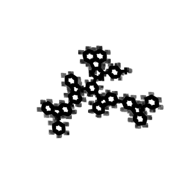 Fc1ccc(-c2nc(-c3cc(-n4c5ccccc5c5cc(-c6ccc7c(c6)c6ccccc6n7-c6ccccc6)ccc54)cc(-n4c5ccccc5c5cc(-c6ccc7c(c6)c6ccccc6n7-c6ccccc6)ccc54)c3)nc3c2-c2cccc4cccc-3c24)cc1